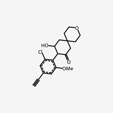 C#Cc1cc(Cl)c(C2C(=O)CC3(CCOCC3)CC2O)c(OC)c1